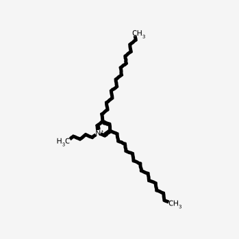 CCCCCCCCCCCCCCCc1cc(CCCCCCCCCCCCCCC)c[n+](CCCCC)c1